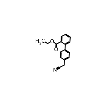 CCOC(=O)c1ccccc1-c1ccc(CC#N)cc1